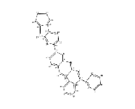 c1ccc(-c2cc3nc4cc(-c5ccc6c(c5)oc5ccccc56)ccc4cc3c3ccccc23)cc1